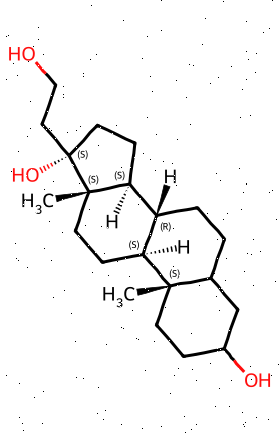 C[C@]12CCC(O)CC1CC[C@@H]1[C@@H]2CC[C@@]2(C)[C@H]1CC[C@]2(O)CCO